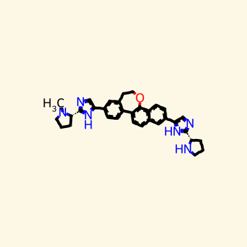 CN1CCC[C@H]1c1ncc(-c2ccc3c(c2)CCOc2c-3ccc3cc(-c4cnc([C@@H]5CCCN5)[nH]4)ccc23)[nH]1